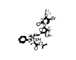 CC(C)OC(=O)[C@@H](C)NP(=O)(OC[C@H]1O[C@@H](n2cc(Br)c(N)nc2=O)[C@](C)(F)[C@@H]1O)Oc1ccccc1